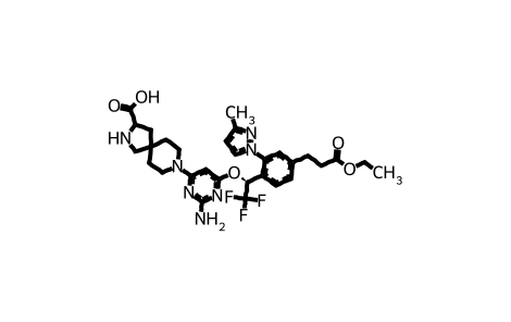 CCOC(=O)CCc1ccc([C@@H](Oc2cc(N3CCC4(CC3)CNC(C(=O)O)C4)nc(N)n2)C(F)(F)F)c(-n2ccc(C)n2)c1